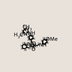 COc1ccc(NCCNC(=O)[C@H](CC2CCCCC2)NC(=O)c2ccc(Nc3nc(C)cc(C)n3)cc2)cc1